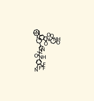 CC(C)(C(=O)Nc1ccc(C#N)c(C(F)(F)F)c1)n1cc(C2CCN(C3CC4CCC(C3)N(c3ccc5c(c3)C(=O)N(C3CCC(=O)NC3=O)C5=O)C4)CC2)cn1